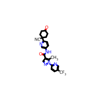 Cc1c(C(=O)Nc2ccc(C3(C#N)CCC(=O)CC3)nc2)cnn1-c1ccc(C(F)(F)F)cn1